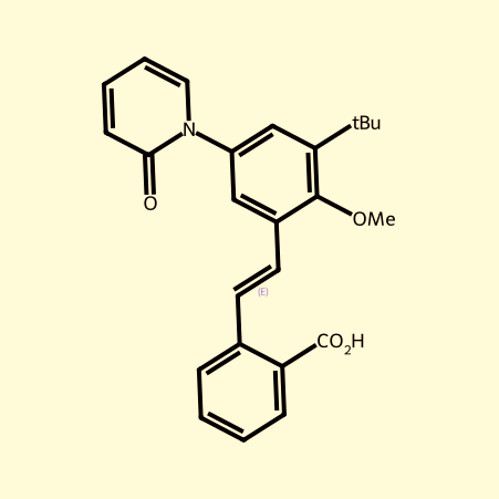 COc1c(/C=C/c2ccccc2C(=O)O)cc(-n2ccccc2=O)cc1C(C)(C)C